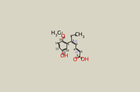 CC/C(=C/C=C/C(=O)O)c1cc(O)ccc1OC